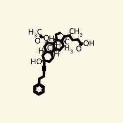 CC(=O)O[C@@H]1C[C@@H]2C[C@@](O)(C#CCCc3ccccc3)CC[C@]2(C)[C@H]2CC[C@]3(C)[C@@H]([C@H](C)CCC(=O)O)CC[C@H]3[C@H]12